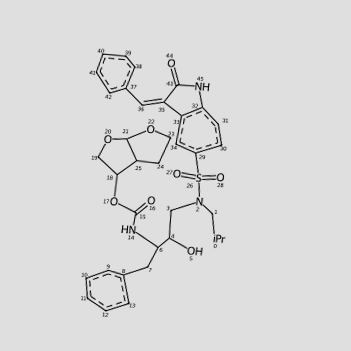 CC(C)CN(CC(O)C(Cc1ccccc1)NC(=O)OC1COC2OCCC12)S(=O)(=O)c1ccc2c(c1)C(=Cc1ccccc1)C(=O)N2